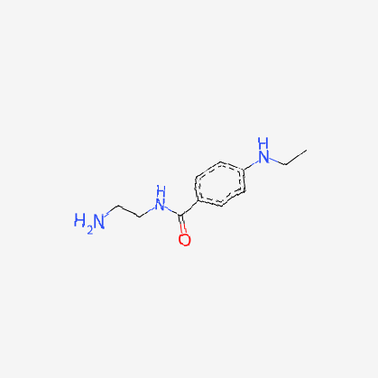 CCNc1ccc(C(=O)NCCN)cc1